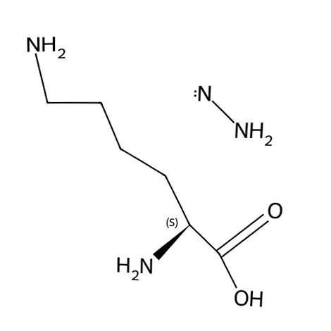 NCCCC[C@H](N)C(=O)O.[N]N